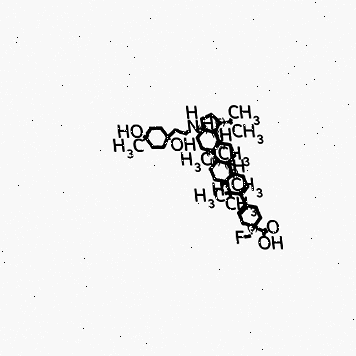 CC(C)[C@@H]1CC[C@]2(NCC[C@]3(O)CC[C@](C)(O)CC3)CC[C@]3(C)[C@H](CC[C@@H]4[C@@]5(C)CC=C(C6=CC[C@](CF)(C(=O)O)CC6)C(C)(C)[C@@H]5CC[C@]43C)[C@@H]12